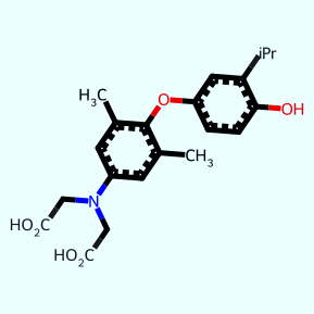 Cc1cc(N(CC(=O)O)CC(=O)O)cc(C)c1Oc1ccc(O)c(C(C)C)c1